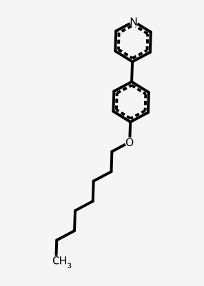 CCCCCCCCOc1ccc(-c2ccncc2)cc1